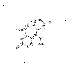 CCN1c2nc(Cl)ccc2NC(=O)c2cc(Br)cnc21